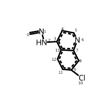 C=NNc1ccnc2cc(Cl)ccc12